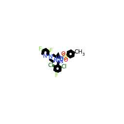 Cc1ccc(S(=O)(=O)N/N=C(/c2c(Cl)cc(F)cc2Cl)N2CCN(c3ncc(F)cc3F)CC23CC3)cc1